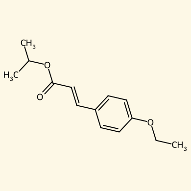 CCOc1ccc(/C=C/C(=O)OC(C)C)cc1